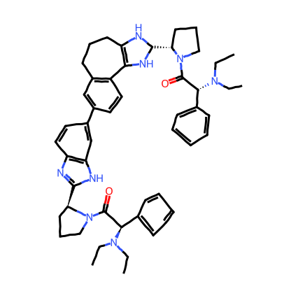 CCN(CC)[C@@H](C(=O)N1CCC[C@H]1c1nc2ccc(-c3ccc4c(c3)CCCC3=C4NC([C@@H]4CCCN4C(=O)[C@@H](c4ccccc4)N(CC)CC)N3)cc2[nH]1)c1ccccc1